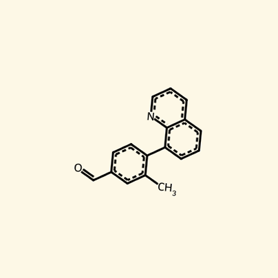 Cc1cc(C=O)ccc1-c1cccc2cccnc12